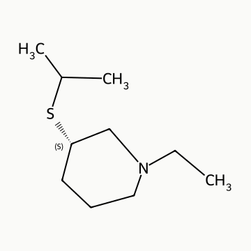 CCN1CCC[C@H](SC(C)C)C1